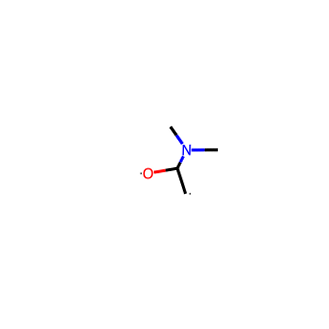 [CH2]C([O])N(C)C